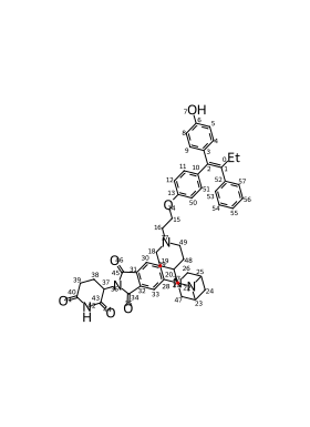 CCC(=C(c1ccc(O)cc1)c1ccc(OCCN2CCC(CN3C4CC3CN(c3ccc5c(c3)C(=O)N(C3CCC(=O)NC3=O)C5=O)C4)CC2)cc1)c1ccccc1